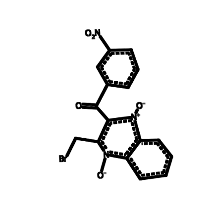 O=C(c1cccc([N+](=O)[O-])c1)c1c(CBr)[n+]([O-])c2ccccc2[n+]1[O-]